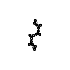 c1ccc(N(c2ccc(-c3ccc(N(c4ccccc4)c4ccc(-c5ccc(N(c6ccccc6)c6ccc(-c7cccc8c7oc7ccccc78)cc6)cc5)cc4)cc3)cc2)c2ccc(-c3ccc(N(c4ccccc4)c4ccc(-c5cccc6c5oc5ccccc56)cc4)cc3)cc2)cc1